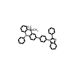 CC1(C)c2ccccc2N(c2ccccc2)c2ccc(-c3ccc(-n4c(-c5ccccc5)nc5ccccc54)cc3)cc21